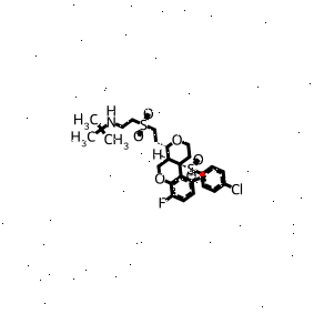 CC(C)(C)NCCS(=O)(=O)CC[C@@H]1OCC[C@@]2(S(=O)(=O)c3ccc(Cl)cc3)c3c(F)ccc(F)c3OC[C@@H]12